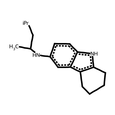 CC(C)CC(C)Nc1ccc2[nH]c3c(c2c1)CCCC3